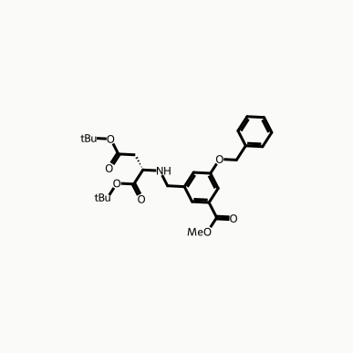 COC(=O)c1cc(CN[C@@H](CC(=O)OC(C)(C)C)C(=O)OC(C)(C)C)cc(OCc2ccccc2)c1